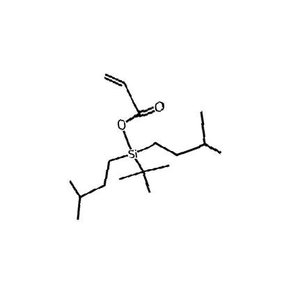 C=CC(=O)O[Si](CCC(C)C)(CCC(C)C)C(C)(C)C